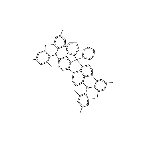 Cc1cc(C)c(B(c2ccc3c(c2)C(c2ccccc2)(c2ccccc2)c2cccc4c(B(c5c(C)cc(C)cc5C)c5c(C)cc(C)cc5C)ccc-3c24)c2c(C)cc(C)cc2C)c(C)c1